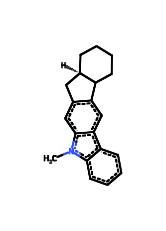 Cn1c2ccccc2c2cc3c(cc21)C[C@H]1CCCCC31